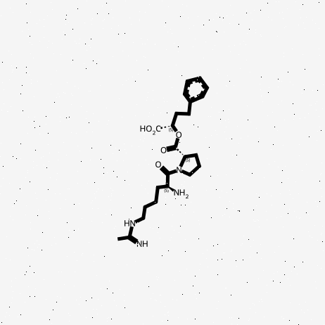 CC(=N)NCCCC[C@H](N)C(=O)N1CCC[C@H]1C(=O)O[C@@H](CCc1ccccc1)C(=O)O